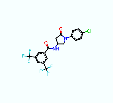 O=C(NC1CC(=O)N(c2ccc(Cl)cc2)C1)c1cc(C(F)(F)F)cc(C(F)(F)F)c1